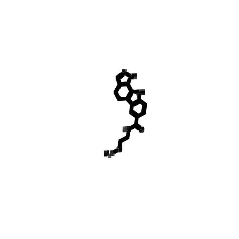 COCCNC(=O)c1ccc2[nH]c3c(c2c1)CCc1cn[nH]c1-3